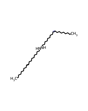 CCCCCCCCC=CCCCCCCCCNNCCCCCCCC/C=C\CCCCCCCC